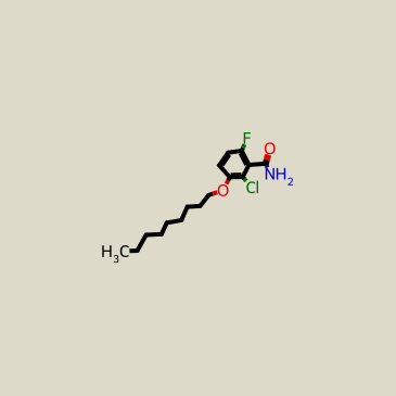 CCCCCCCCCOc1ccc(F)c(C(N)=O)c1Cl